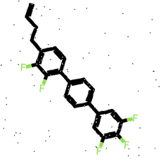 C=CCCc1ccc(-c2ccc(-c3cc(F)c(F)c(F)c3)cc2)c(F)c1F